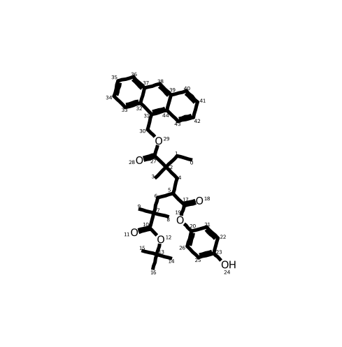 CCC(C)(CC(CC(C)(C)C(=O)OC(C)(C)C)C(=O)Oc1ccc(O)cc1)C(=O)OCc1c2ccccc2cc2ccccc12